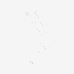 O=C(Cc1cnc(NC(=O)Nc2cccnc2)s1)Nc1ccc(CN2CCCC2)cc1